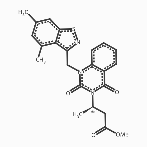 COC(=O)C[C@@H](C)n1c(=O)c2ccccc2n(Cc2nsc3cc(C)cc(C)c23)c1=O